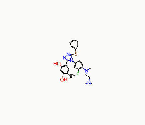 CC(C)c1cc(-c2nnc(Sc3ccccc3)n2-c2ccc(N(C)CCN(C)C)c(F)c2)c(O)cc1O